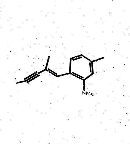 CC#C/C(C)=C/c1ccc(C)cc1NC